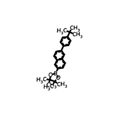 CC(C)(C)c1ccc(-c2ccc3cc(B4OC(C)(C)C(C)(C)O4)ccc3c2)cc1